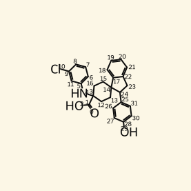 O=C(O)C1(Nc2cccc(Cl)c2)CCC2(CC1)c1ccccc1CC2c1ccc(O)cc1